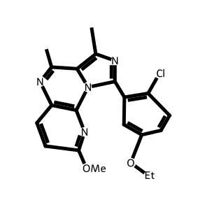 CCOc1ccc(Cl)c(-c2nc(C)c3c(C)nc4ccc(OC)nc4n23)c1